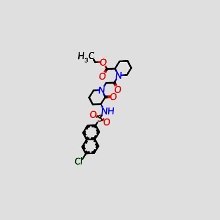 CCOC(=O)C1CCCCN1C(=O)CN1CCC[C@H](NS(=O)(=O)c2ccc3cc(Cl)ccc3c2)C1=O